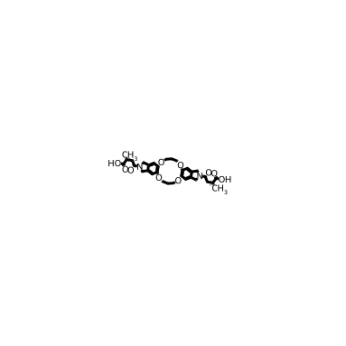 C[C@@H](CC(=O)N1Cc2cc3c(cc2C1)OCCCOc1cc2c(cc1OCCCO3)CN(C(=O)C[C@H](C)C(=O)O)C2)C(=O)O